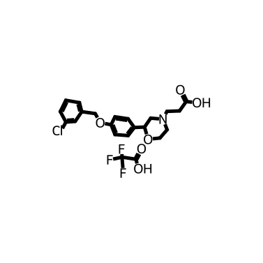 O=C(O)C(F)(F)F.O=C(O)CCN1CCOC(c2ccc(OCc3cccc(Cl)c3)cc2)C1